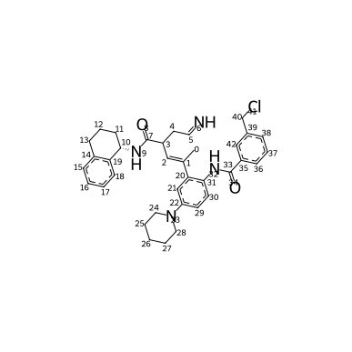 C/C(=C\C(CC=N)C(=O)N[C@H]1CCCc2ccccc21)c1cc(N2CCCCC2)ccc1NC(=O)c1cccc(CCl)c1